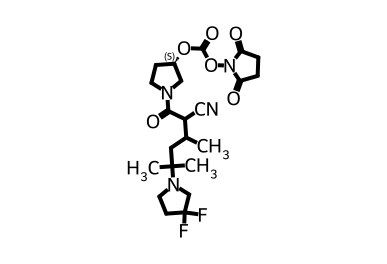 CC(CC(C)(C)N1CCC(F)(F)C1)C(C#N)C(=O)N1CC[C@H](OC(=O)ON2C(=O)CCC2=O)C1